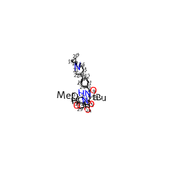 CO[C@H]1CN(C(=O)[C@@H](NC(=O)c2ccc(C3CCN(C4CC4)CC3)cc2)C(C)(C)C)[C@@H]2C(=O)CO[C@H]12